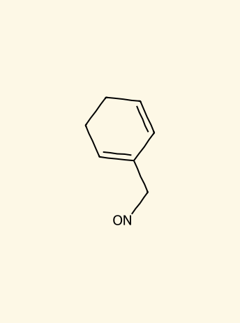 O=NCC1=CCCC=C1